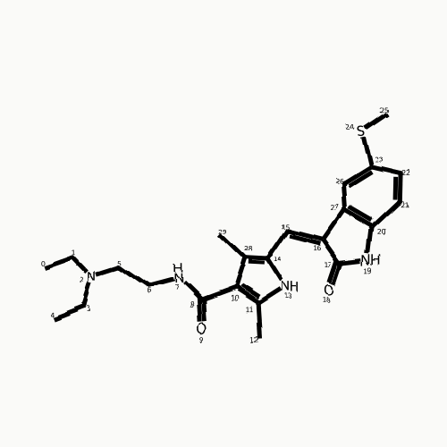 CCN(CC)CCNC(=O)c1c(C)[nH]c(/C=C2\C(=O)Nc3ccc(SC)cc32)c1C